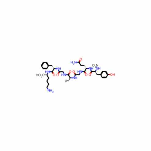 CC(C)[C@H](NC(=O)CNC(=O)[C@H](CCC(N)=O)NC(=O)[C@H](Cc1ccc(O)cc1)N[N+](=O)[O-])C(=O)NCC(=O)N[C@@H](Cc1ccccc1)C(=O)N[C@@H](CCCCN)C(=O)O